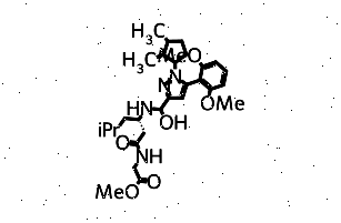 COC(=O)CNC(=O)C[C@H](CC(C)C)NC(O)c1cc(-c2c(OC)cccc2OC)n(C2CCC(C)C2C)n1